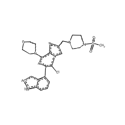 CS(=O)(=O)N1CCN(Cc2cn3c(Cl)c(-c4cccc5[nH]ncc45)nc(N4CCOCC4)c3n2)CC1